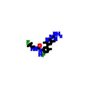 Cc1cc(F)c(NC(=O)NCCC(C)(C)F)cc1-c1cc2cnc(N)nc2nc1C